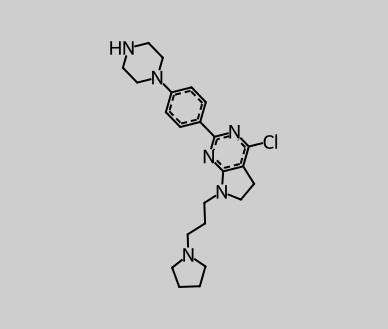 Clc1nc(-c2ccc(N3CCNCC3)cc2)nc2c1CCN2CCCN1CCCC1